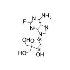 Nc1nc(F)nc2c1ncn2[C@H]1C[C@H](O)C(CO)(CO)O1